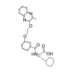 Cc1nc2ccccc2nc1OCCOc1cccc(C(=O)N[C@@H](CC2CCCCC2)C(=O)O)c1